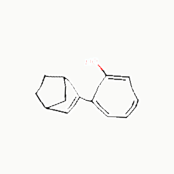 Oc1ccccc1C1=CC2CCC1C2